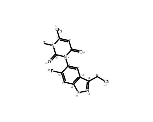 Cn1c(C(F)(F)F)cc(=O)n(-c2cc3c(CC#N)nsc3cc2F)c1=O